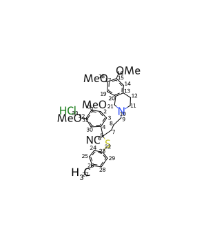 COc1ccc(C(C#N)(CCCN2CCc3cc(OC)c(OC)cc3C2)Sc2ccc(C)cc2)cc1OC.Cl